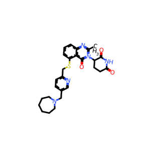 Cc1nc2cccc(SCc3ccc(CN4CCCCCC4)cn3)c2c(=O)n1C1CCC(=O)NC1=O